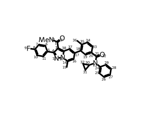 CNC(=O)c1c(-c2ccc(F)cc2)nn2c(C)cc(-c3cc(C(=O)N(c4ccccc4)C4CC4)ccc3C)cc12